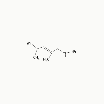 C/C(=C\C(C)C(C)C)CNC(C)C